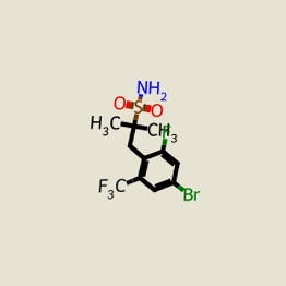 CC(C)(Cc1c(F)cc(Br)cc1C(F)(F)F)S(N)(=O)=O